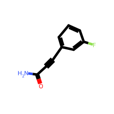 NC(=O)C#Cc1cccc(F)c1